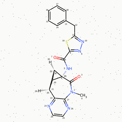 CN1C(=O)[C@@]2(NC(=O)c3nnc(Cc4ccccc4)s3)C3[C@@H](c4nccnc41)[C@H]32